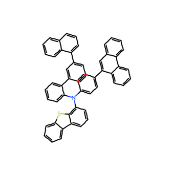 c1cc(-c2ccccc2N(c2ccc(-c3cc4ccccc4c4ccccc34)cc2)c2cccc3c2sc2ccccc23)cc(-c2cccc3ccccc23)c1